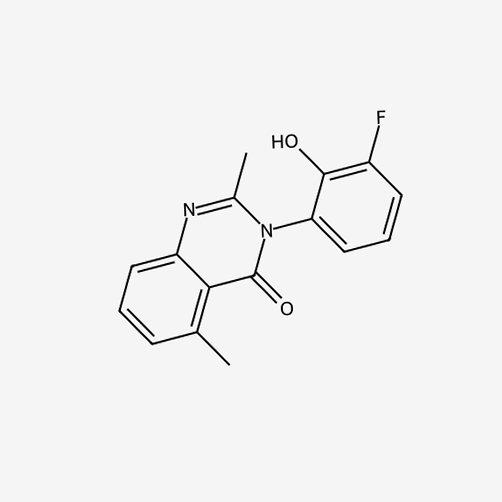 Cc1cccc2nc(C)n(-c3cccc(F)c3O)c(=O)c12